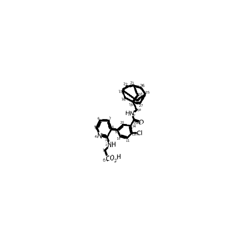 O=C(O)CNc1ncccc1-c1ccc(Cl)c(C(=O)NCC23CC4CC(CC(C4)C2)C3)c1